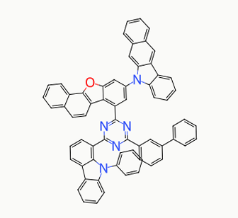 c1ccc(-c2cccc(-c3nc(-c4cc(-n5c6ccccc6c6cc7ccccc7cc65)cc5oc6c7ccccc7ccc6c45)nc(-c4cccc5c6ccccc6n(-c6ccccc6)c45)n3)c2)cc1